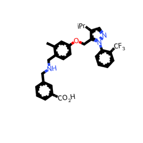 Cc1cc(OCc2c(C(C)C)cnn2-c2ccccc2C(F)(F)F)ccc1CNCc1cccc(C(=O)O)c1